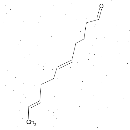 CC=CCCC=CCCCC=O